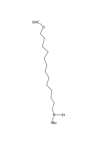 CCCCN(CC)CCCCCCCCCCCCCO[C]=O